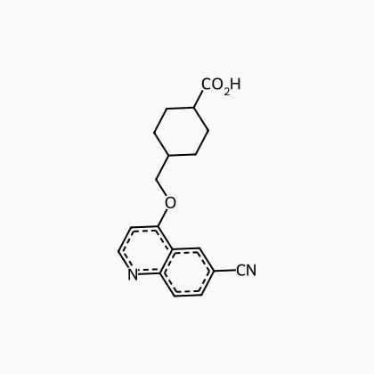 N#Cc1ccc2nccc(OCC3CCC(C(=O)O)CC3)c2c1